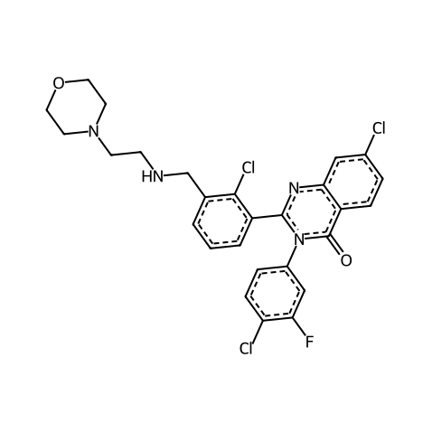 O=c1c2ccc(Cl)cc2nc(-c2cccc(CNCCN3CCOCC3)c2Cl)n1-c1ccc(Cl)c(F)c1